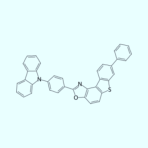 c1ccc(-c2ccc3c(c2)sc2ccc4oc(-c5ccc(-n6c7ccccc7c7ccccc76)cc5)nc4c23)cc1